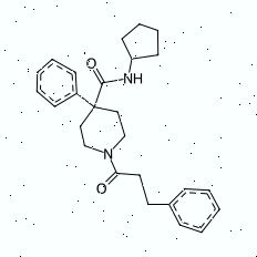 O=C(CCc1ccccc1)N1CCC(C(=O)NC2CCCC2)(c2ccccc2)CC1